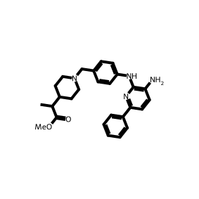 COC(=O)C(C)C1CCN(Cc2ccc(Nc3nc(-c4ccccc4)ccc3N)cc2)CC1